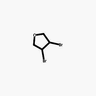 BrC1COCC1Br